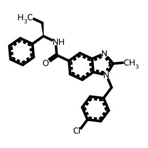 CC[C@@H](NC(=O)c1ccc2c(c1)nc(C)n2Cc1ccc(Cl)cc1)c1ccccc1